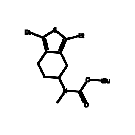 CCc1sc(CC)c2c1CCC(N(C)C(=O)OC(C)(C)C)C2